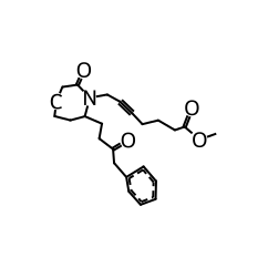 COC(=O)CCCC#CCN1C(=O)CCCCC1CCC(=O)Cc1ccccc1